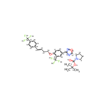 CC(C)(C)OC(=O)N1CCC[C@H]1c1nc(-c2ccc(OCC/C=C/c3ccc(C(F)(F)F)cc3)c(C(F)(F)F)c2)no1